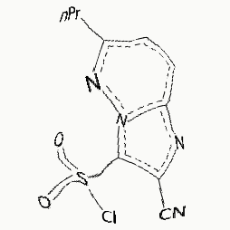 CCCc1ccc2nc(C#N)c(S(=O)(=O)Cl)n2n1